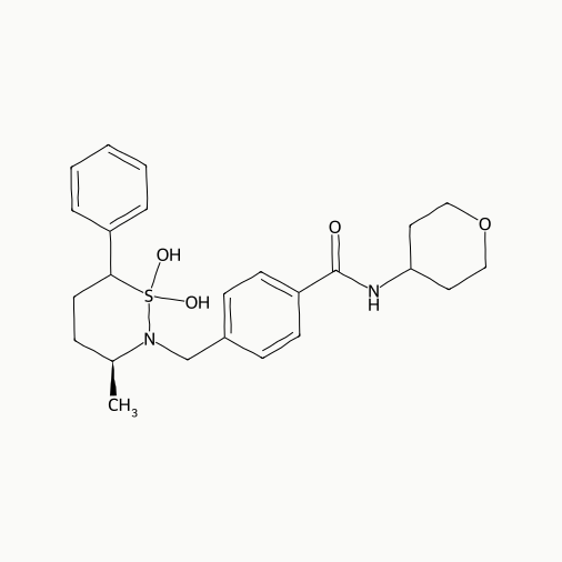 C[C@H]1CCC(c2ccccc2)S(O)(O)N1Cc1ccc(C(=O)NC2CCOCC2)cc1